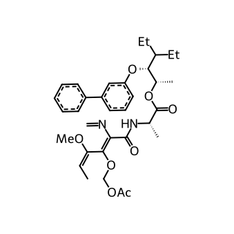 C=N/C(C(=O)N[C@@H](C)C(=O)O[C@@H](C)[C@H](Oc1cccc(-c2ccccc2)c1)C(CC)CC)=C(OCOC(C)=O)\C(=C/C)OC